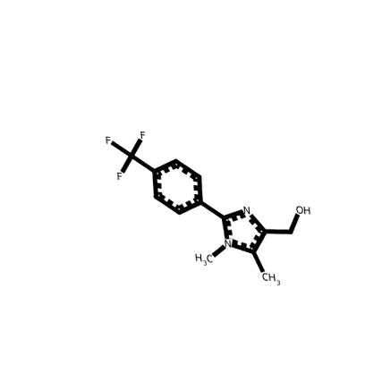 Cc1c(CO)nc(-c2ccc(C(F)(F)F)cc2)n1C